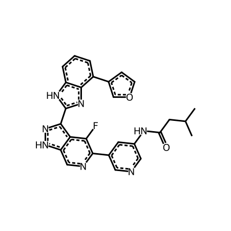 CC(C)CC(=O)Nc1cncc(-c2ncc3[nH]nc(-c4nc5c(-c6ccoc6)cccc5[nH]4)c3c2F)c1